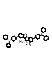 CC1(C)c2ccc(-c3ccc(N(c4ccccc4)c4ccccc4)cc3)cc2-c2oc3ccc(-c4ccc(N(c5ccccc5)c5ccccc5)cc4)cc3c21